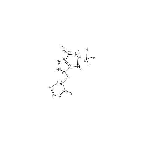 Cc1ccccc1Cn1ncc2c(=O)[nH]c(C(C)(C)C)nc21